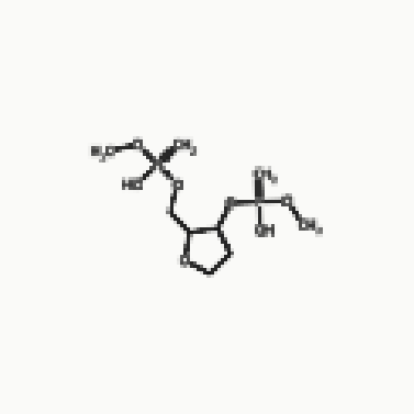 C=P(O)(OC)OCC1OCCC1OP(=C)(O)OC